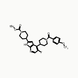 CC(C)(C)OC(=O)N1CCC(c2cc3c(C4CCN(C(=O)c5ccc(OC(F)(F)F)cc5)CC4)c(F)cnc3[nH]2)CC1